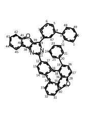 c1ccc(-c2cccc(-c3nc(-c4ccc5c(c4)c4c(-c6ccccc6)ccc6oc7cccc5c7c64)nc4c3oc3ccccc34)c2)cc1